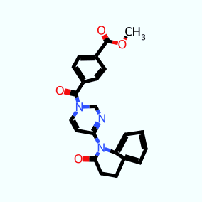 COC(=O)c1ccc(C(=O)N2C=CC(N3C(=O)CCc4ccccc43)=NC2)cc1